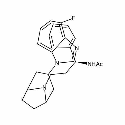 CC(=O)N[C@@H](CCN1C2CCC1CC(n1cnc3c(F)cccc31)C2)c1ccccc1